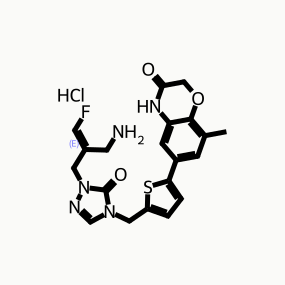 Cc1cc(-c2ccc(Cn3cnn(C/C(=C/F)CN)c3=O)s2)cc2c1OCC(=O)N2.Cl